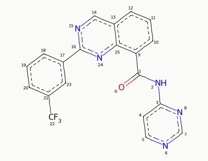 O=C(Nc1ccncn1)c1cccc2cnc(-c3cccc(C(F)(F)F)c3)nc12